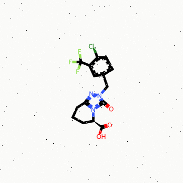 O=C(O)[C@H]1CCCc2nn(Cc3ccc(Cl)c(C(F)(F)F)c3)c(=O)n21